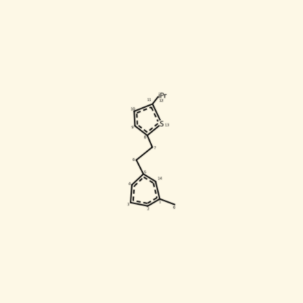 Cc1cccc(CCc2ccc(C(C)C)s2)c1